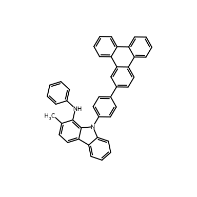 Cc1ccc2c3ccccc3n(-c3ccc(-c4ccc5c6ccccc6c6ccccc6c5c4)cc3)c2c1Nc1ccccc1